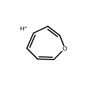 C1=CC=COC=C1.[H+]